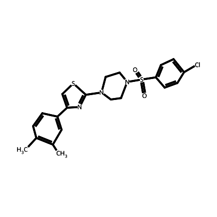 Cc1ccc(-c2csc(N3CCN(S(=O)(=O)c4ccc(Cl)cc4)CC3)n2)cc1C